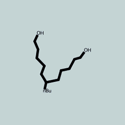 CCCC[C](CCCCCO)CCCCCO